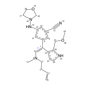 C=CCCN(C)/C=C(/c1cc(C#N)cc(NN2CCOC2)c1)c1cc[nH]c1COC